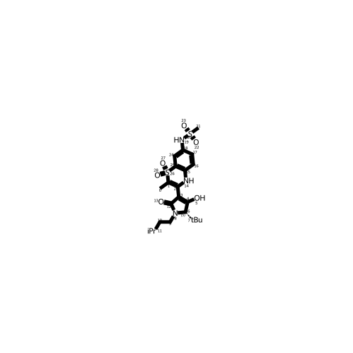 CC1=C(C2=C(O)[C@H](C(C)(C)C)N(CCC(C)C)C2=O)Nc2ccc(NS(C)(=O)=O)cc2S1(=O)=O